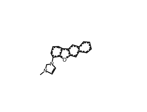 CN1C=CN(c2cccc3c2oc2cc4ccccc4cc23)C1